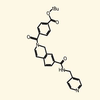 CC(C)(C)OC(=O)c1ccc(C(=O)N2C=Cc3ccc(C(=O)NCc4ccncc4)cc3C2)cc1